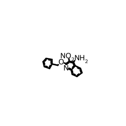 Nc1c([N+](=O)[O-])c(OCc2ccccc2)nc2ccccc12